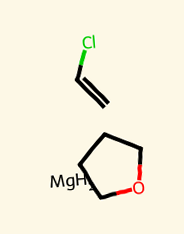 C1CCOC1.C=CCl.[MgH2]